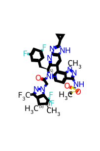 C[C@@H]1c2c(C(F)(F)F)nn(CC(=O)N[C@@H](Cc3cc(F)cc(F)c3)c3nc4nc(C5CC5)[nH]c4cc3-c3cccc4c(NS(C)(=O)=O)nn(C)c34)c2C(F)(F)[C@@H]1C